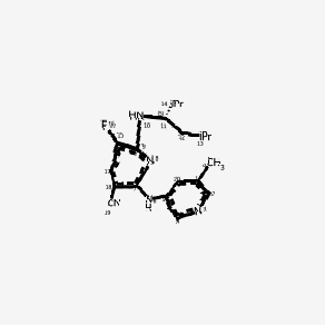 Cc1cncc(Nc2nc(N[C@@H](CC(C)C)C(C)C)c(F)cc2C#N)c1